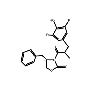 CC(Cc1cc(F)c(O)c(F)c1)C(=O)N1C(=O)OC[C@H]1Cc1ccccc1